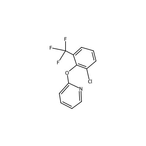 FC(F)(F)c1cccc(Cl)c1Oc1ccccn1